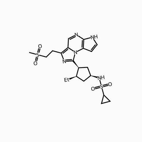 CC[C@@H]1C[C@H](NS(=O)(=O)C2CC2)C[C@@H]1c1nc(CCS(C)(=O)=O)c2cnc3[nH]ccc3n12